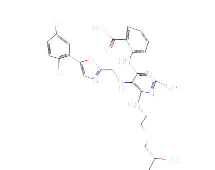 Cc1nc(NCCSCC(O)CO)c(NCc2ncc(-c3cc(Cl)ccc3Cl)o2)c(Nc2ccccc2C(=O)O)n1